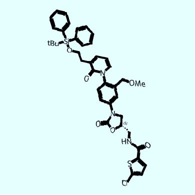 COCc1cc(N2C[C@H](CNC(=O)c3ccc(Cl)s3)OC2=O)ccc1-n1cccc(CCO[Si](c2ccccc2)(c2ccccc2)C(C)(C)C)c1=O